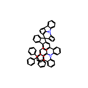 c1ccc(-c2ccccc2N(c2ccccc2-c2ccc3c(c2)C2(c4ccccc4-3)c3ccccc3-n3c4ccccc4c4cccc2c43)c2cccc3c2-c2ccccc2C3(c2ccccc2)c2ccccc2)cc1